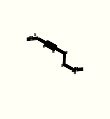 [CH2]CCCCCCCC#CCCCCCC